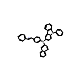 c1ccc2c(c#1)c1cc(N(c3ccc(/C=C/c4ccccc4)cc3)c3ccc4ccccc4c3)ccc1n2-c1ccccc1